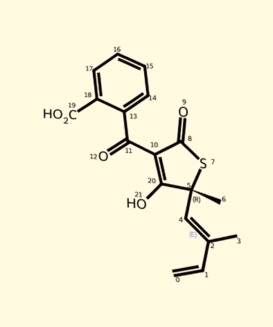 C=C/C(C)=C/[C@@]1(C)SC(=O)C(C(=O)c2ccccc2C(=O)O)=C1O